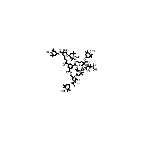 CCCCC(CCCOC(=O)c1cc(C(=O)CCCCC(CCCC)(C(=O)OC2CC(C)(C)N(O)C(C)(C)C2)C(=O)OC2CC(C)(C)N(O)C(C)(C)C2)cc(C(=O)OCCCC(CCCC)(C(=O)OC2CC(C)(C)N(O)C(C)(C)C2)C(=O)OC2CC(C)(C)N(O)C(C)(C)C2)c1)(C(=O)OC(CCC)CC(C)(C)N(O)CC)C(=O)OC1CC(C)(C)N(O)C(C)(C)C1